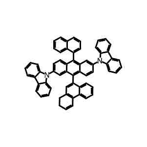 C1=Cc2c(cc(-c3c4ccc(-n5c6ccccc6c6ccccc65)cc4c(-c4cccc5ccccc45)c4ccc(-n5c6ccccc6c6ccccc65)cc34)c3ccccc23)CC1